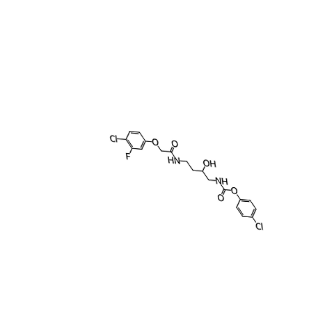 O=C(COc1ccc(Cl)c(F)c1)NCCC(O)CNC(=O)Oc1ccc(Cl)cc1